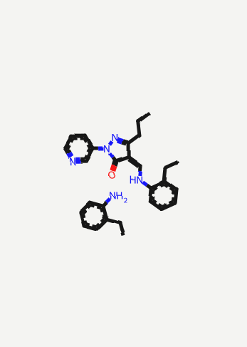 CCCC1=NN(c2cccnc2)C(=O)/C1=C\Nc1ccccc1CC.CCc1ccccc1N